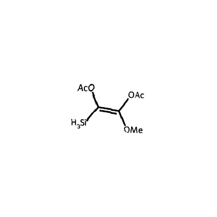 COC(OC(C)=O)=C([SiH3])OC(C)=O